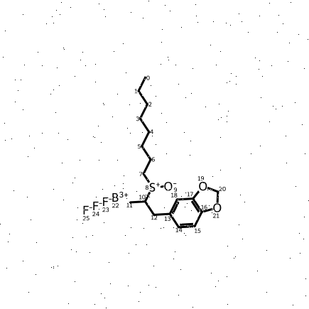 CCCCCCCC[S+]([O-])C(C)Cc1ccc2c(c1)OCO2.[B+3].[F-].[F-].[F-]